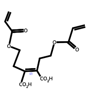 C=CC(=O)OCC/C(C(=O)O)=C(\CCOC(=O)C=C)C(=O)O